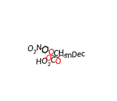 CCCCCCCCCCCCCC(=O)C(C)(C(=O)O)C(=O)Oc1ccc([N+](=O)[O-])cc1